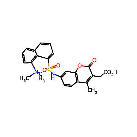 Cc1c(CC(=O)O)c(=O)oc2cc(NS(=O)(=O)c3cccc4cccc(N(C)C)c34)ccc12